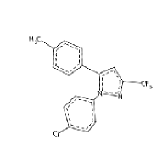 Cc1ccc(-c2cc(C(F)(F)F)nn2-c2ccc(Cl)cc2)cc1